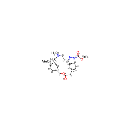 COc1ccc(COC(=O)Cc2ccc3c(c2)c(CCN(C)C)nn3C(=O)OC(C)(C)C)cc1